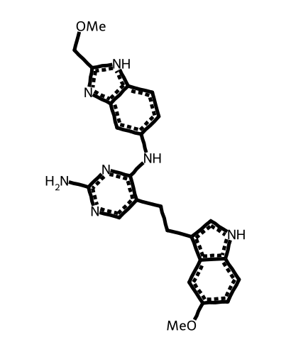 COCc1nc2cc(Nc3nc(N)ncc3CCc3c[nH]c4ccc(OC)cc34)ccc2[nH]1